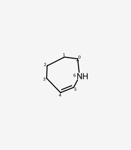 [C]1CCCC=CN1